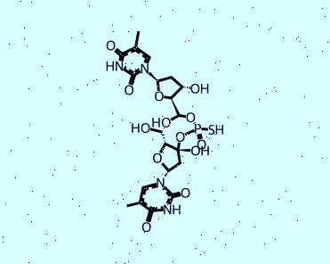 Cc1cn([C@H]2C[C@H](O)[C@@H](C(O)OP(=O)(S)O[C@]3(O)C[C@H](n4cc(C)c(=O)[nH]c4=O)O[C@@H]3CO)O2)c(=O)[nH]c1=O